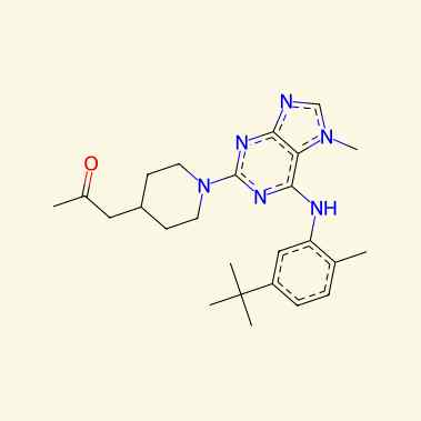 CC(=O)CC1CCN(c2nc(Nc3cc(C(C)(C)C)ccc3C)c3c(ncn3C)n2)CC1